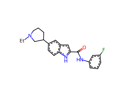 CCN1CCCC(c2ccc3[nH]c(C(=O)Nc4cccc(F)c4)cc3c2)C1